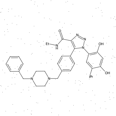 CCNC(=O)c1nnn(-c2cc(C(C)C)c(O)cc2O)c1-c1ccc(CN2CCN(Cc3ccccc3)CC2)cc1